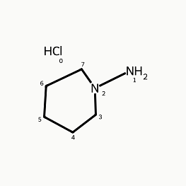 Cl.NN1CCCCC1